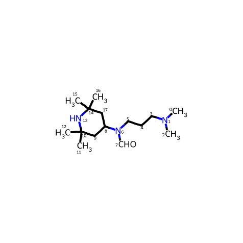 CN(C)CCCN(C=O)C1CC(C)(C)NC(C)(C)C1